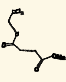 COC(=O)CCC(=O)OCC(Cl)(Cl)Cl